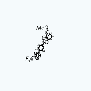 COCCn1cccc(OCc2ccc(-c3noc(C(F)(F)F)n3)cc2)c1=O